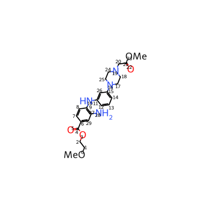 COCCOC(=O)c1ccc(Nc2cccc(N3CCN(CC(=O)OC)CC3)c2)c(N)c1